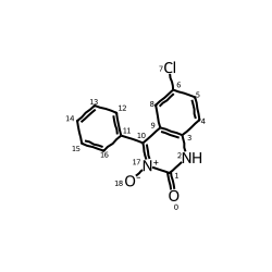 O=c1[nH]c2ccc(Cl)cc2c(-c2ccccc2)[n+]1[O-]